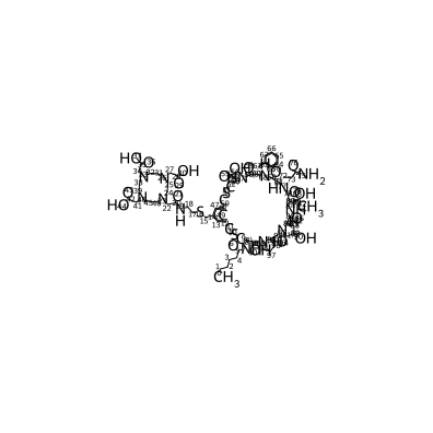 CCCCCC(=O)N[C@H]1CSCc2cc(CSCCNC(=O)CN3CCN(CC(=O)O)CCN(CC(=O)O)CCN(CC(=O)O)CC3)cc(c2)CSC[C@@H](C(=O)O)NC(=O)[C@H](Cc2ccccc2)NC(=O)[C@H](CCC(N)=O)NC(=O)[C@H]([C@@H](C)O)NC(=O)[C@@H]2C[C@@H](O)CN2C(=O)[C@@H]2CCCN2[C@@H]1O